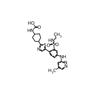 CCNS(=O)(=O)c1cc(Nc2cc(C)cnn2)ccc1-c1cnc(C2CCC(NC(=O)O)CC2)s1